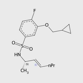 CCC/C=C/[C@H](C)NS(=O)(=O)c1ccc(F)c(OCC2CC2)c1